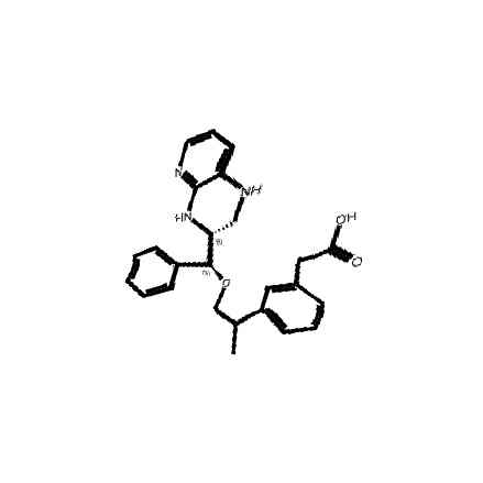 CC(CO[C@@H](c1ccccc1)[C@H]1CNc2cccnc2N1)c1cccc(CC(=O)O)c1